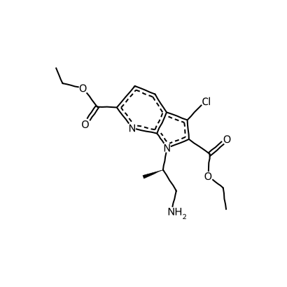 CCOC(=O)c1ccc2c(Cl)c(C(=O)OCC)n([C@H](C)CN)c2n1